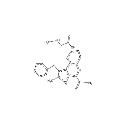 CNCC(=O)O.Cc1nc2c(C(N)=O)nc3ccccc3c2n1Cc1ccccc1